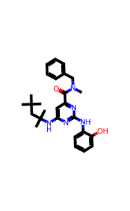 CN(Cc1ccccc1)C(=O)c1cc(NC(C)(C)CC(C)(C)C)nc(Nc2ccccc2O)n1